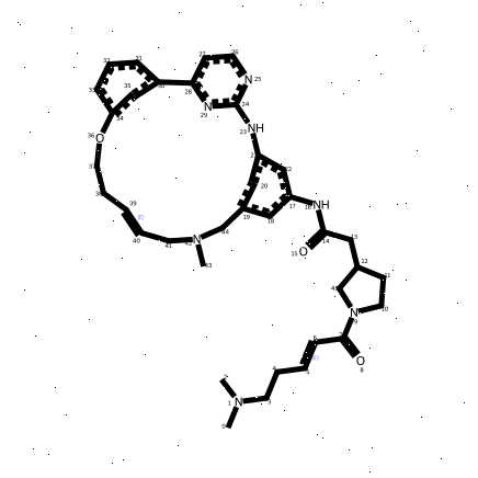 CN(C)CC/C=C/C(=O)N1CCC(CC(=O)Nc2cc3cc(c2)Nc2nccc(n2)-c2cccc(c2)OCC/C=C/CN(C)C3)C1